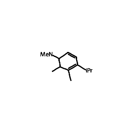 CNC1C=CC(C(C)C)=C(C)C1C